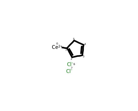 [Ce+2][C]1=CC=CC1.[Cl-].[Cl-]